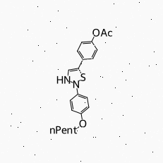 CCCCCOc1ccc(N2NC=C(c3ccc(OC(C)=O)cc3)S2)cc1